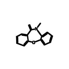 C=C1c2ccccc2Oc2ccccc2N1C